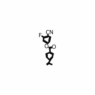 C=C(C)c1ccc(C(=O)Oc2ccc(C#N)c(F)c2)cc1